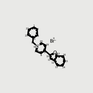 [Br-].c1ccc(C[n+]2ccc(-c3cc4ccccc4o3)cc2)cc1